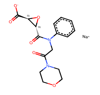 O=C([O-])[C@H]1O[C@@H]1C(=O)N(CC(=O)N1CCOCC1)c1ccccc1.[Na+]